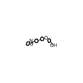 OCc1ccc(Oc2ccc(-c3ccc(-c4nc5ccccc5o4)cc3)cc2)cc1